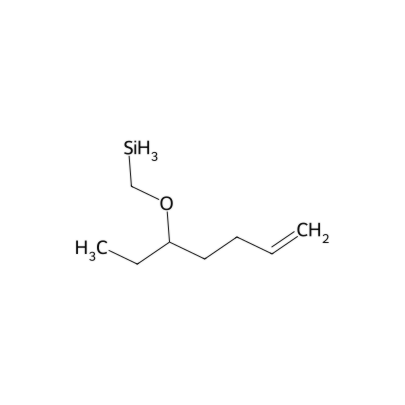 C=CCCC(CC)OC[SiH3]